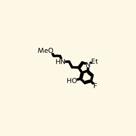 CCn1cc(CCNCCOC)c2c(O)cc(F)cc21